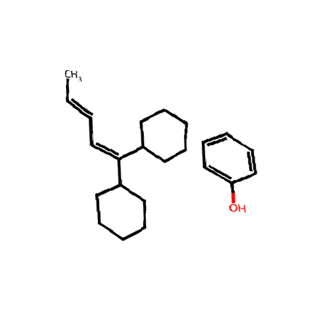 CC=CC=C(C1CCCCC1)C1CCCCC1.Oc1ccccc1